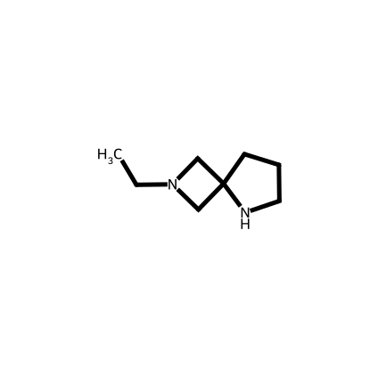 CCN1CC2(CCCN2)C1